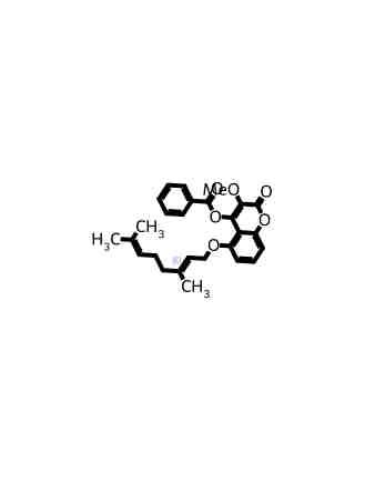 COc1c(OC(=O)c2ccccc2)c2c(OC/C=C(\C)CCC=C(C)C)cccc2oc1=O